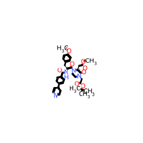 COC(=O)C[C@H]1C(=O)N(CC(=O)OC(C)(C)C)CCN1C(=O)[C@H](Cc1ccc(OC)cc1)NC(=O)c1ccc(-c2ccncc2)cc1